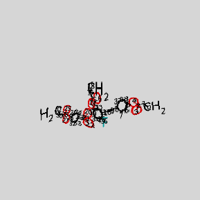 C=CC(=O)Oc1ccc(C#Cc2cc(OC(=O)C=C)c(OC(=O)c3ccc(OC(=O)C=C)cc3)cc2F)cc1